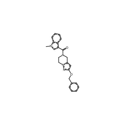 Cn1cc(C(=O)N2CCn3nc(OCc4ccccc4)cc3C2)c2ccccc21